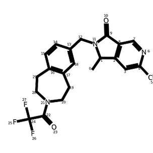 CC1c2cc(Cl)ncc2C(=O)N1Cc1ccc2c(c1)CCN(C(=O)C(F)(F)F)CC2